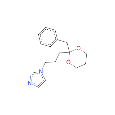 c1ccc(CC2(CCCn3ccnc3)OCCCO2)cc1